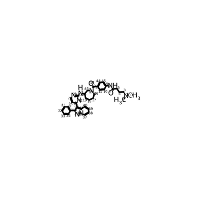 CN(C)CCCC(=O)Nc1ccc(C(=O)N2CCCCC(Nc3nccc(-c4c(-c5ccccc5)nn5ccccc45)n3)C2)cc1